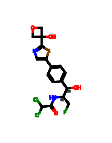 O=C(N[C@H](CF)[C@H](O)c1ccc(-c2cnc(C3(O)COC3)s2)cc1)C(Cl)Cl